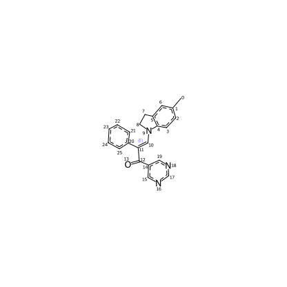 Cc1ccc2c(c1)CCN2/C=C(/C(=O)c1cncnc1)c1ccccc1